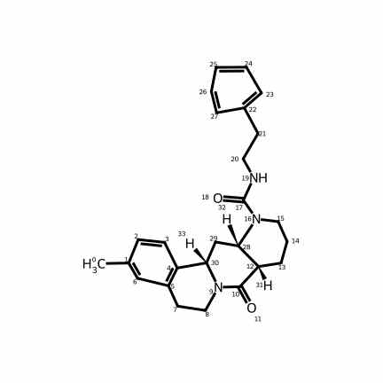 Cc1ccc2c(c1)CCN1C(=O)[C@H]3CCCN(C(=O)NCCc4ccccc4)[C@H]3C[C@@H]21